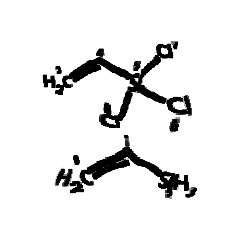 C=C[SiH3].C=C[Si](Cl)(Cl)Cl